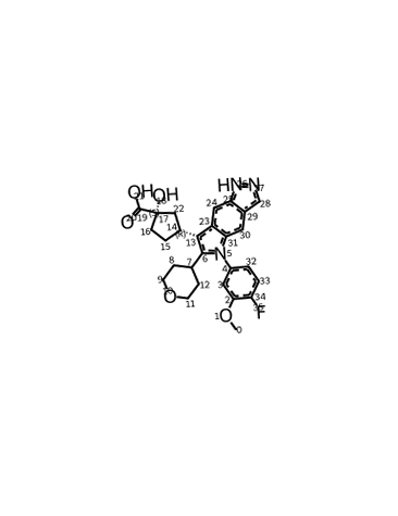 COc1cc(-n2c(C3CCOCC3)c([C@@H]3CC[C@@](O)(C(=O)O)C3)c3cc4[nH]ncc4cc32)ccc1F